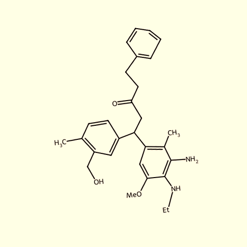 CCNc1c(OC)cc(C(CC(=O)CCc2ccccc2)c2ccc(C)c(CO)c2)c(C)c1N